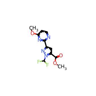 COC(=O)c1cc(-c2nccc(OC)n2)nn1C(F)F